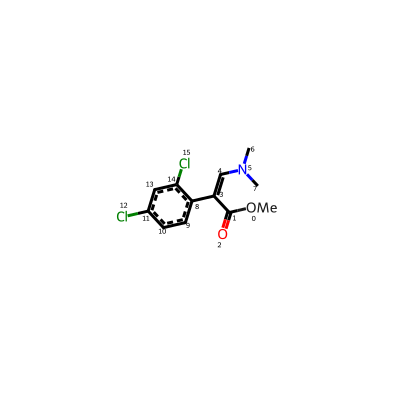 COC(=O)/C(=C\N(C)C)c1ccc(Cl)cc1Cl